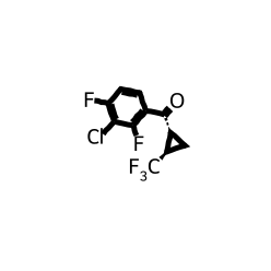 O=C(c1ccc(F)c(Cl)c1F)[C@@H]1C[C@H]1C(F)(F)F